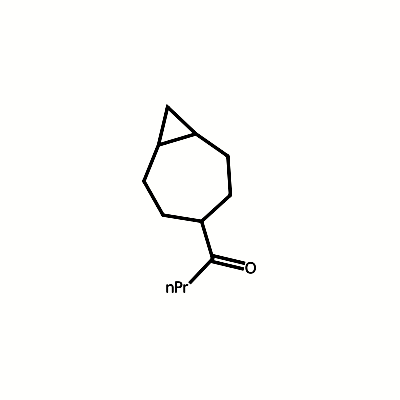 CCCC(=O)C1CCC2CC2CC1